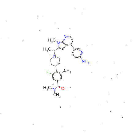 Cc1cc(C(=O)N(C)C)cc(F)c1C1=CCN([C@H](C)c2cc3c(-c4ccc(N)nc4)ccnc3n2C)CC1